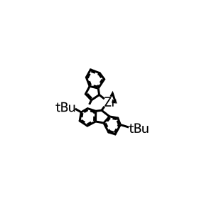 CC1=Cc2ccccc2[CH]1[Zr]1([CH]2c3cc(C(C)(C)C)ccc3-c3ccc(C(C)(C)C)cc32)[CH2][CH2]1